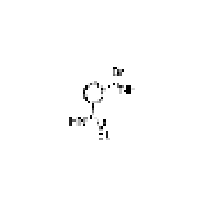 CCOC(=N)c1cccc(C(=N)Br)c1